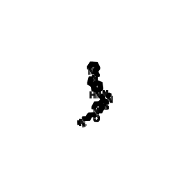 CN(C)C/C=C/C(=O)N1CCc2c(sc3ncnc(Nc4ccc5c(ccn5Cc5ccccn5)c4)c23)C1